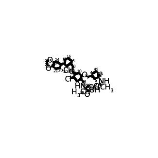 CC(=O)Nc1cc(COc2cc(OCc3cccc(-c4ccc5c(c4)OCCO5)c3C)c(Cl)cc2CNC(C)(CO)C(=O)O)ccn1